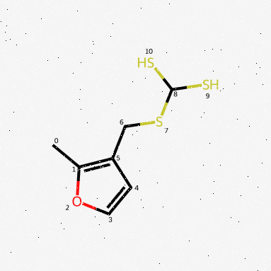 Cc1occc1CSC(S)S